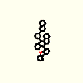 c1cc(-c2ccc3ccccc3c2)cc(-c2c3ccccc3c(-c3cccc4c3oc3ccccc34)c3ccc4ccccc4c23)c1